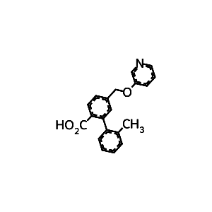 Cc1ccccc1-c1cc(COc2cccnc2)ccc1C(=O)O